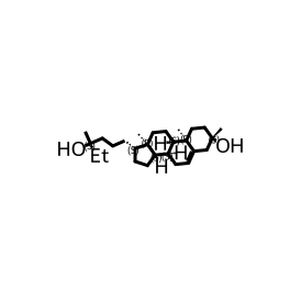 CC[C@](C)(O)CCC[C@H]1CC[C@H]2[C@@H]3CC=C4C[C@@](C)(O)CC[C@]4(C)[C@H]3CC[C@]12C